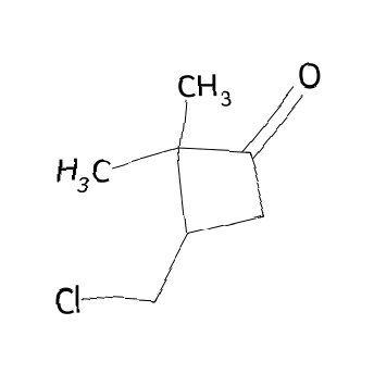 CC1(C)C(=O)CC1CCl